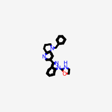 c1ccc(CN2CCCc3ncc(-c4nn(C5NCCO5)c5ccccc45)cc32)cc1